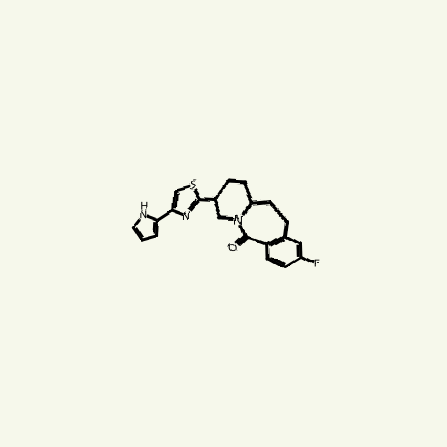 O=C1c2ccc(F)cc2CCC2CCC(c3nc(-c4ccc[nH]4)cs3)CN12